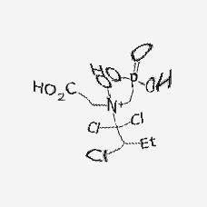 CCC(Cl)C(Cl)(Cl)[N+]([O-])(CC(=O)O)CP(=O)(O)O